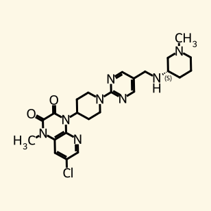 CN1CCC[C@H](NCc2cnc(N3CCC(n4c(=O)c(=O)n(C)c5cc(Cl)cnc54)CC3)nc2)C1